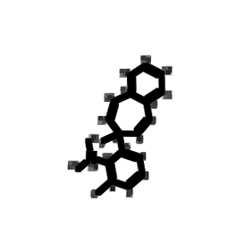 Cc1cccc(C2(C)C=Cc3ccccc3C=C2)c1N(C)C